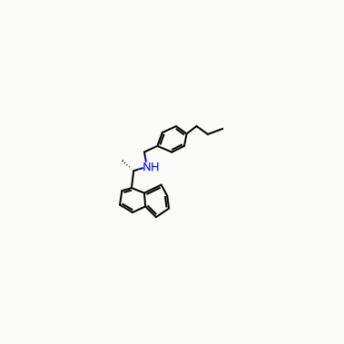 CCCc1ccc(CN[C@@H](C)c2cccc3ccccc23)cc1